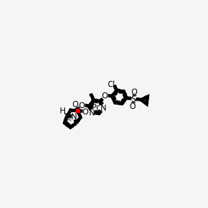 Cc1c(Oc2ccc(S(=O)(=O)C3CC3)cc2Cl)ncnc1O[C@H]1CC2C=C[C@@H](C1)N2C(=O)OC(C)C